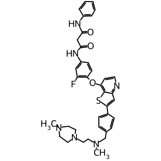 CN1CCN(CCN(C)Cc2ccc(-c3cc4nccc(Oc5ccc(NC(=O)CC(=O)Nc6ccccc6)cc5F)c4s3)cc2)CC1